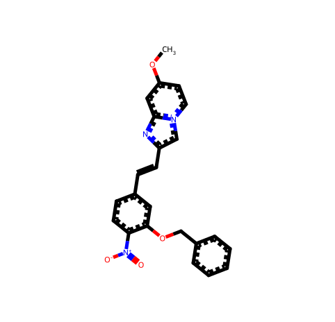 COc1ccn2cc(C=Cc3ccc([N+](=O)[O-])c(OCc4ccccc4)c3)nc2c1